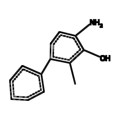 Cc1c(-c2ccccc2)ccc(N)c1O